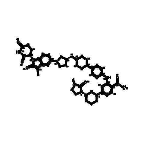 CN1CCN([C@@H]2CCCN(c3cnc(C(N)=O)c(Nc4ccc(C5CCN(C[C@@H]6CCN(c7ccc8c(c7)n(C)c(=O)n8[C@@H]7CCC(=O)NC7=O)C6)CC5)cc4)n3)C2)C1=O